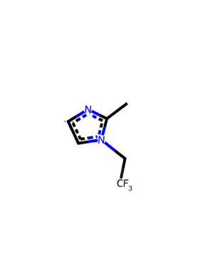 Cc1n[c]cn1CC(F)(F)F